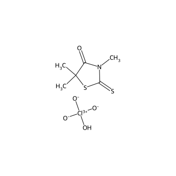 CN1C(=O)C(C)(C)SC1=S.[O-][Cl+3]([O-])([O-])O